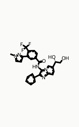 Cn1ccc(-c2cc(C(=O)Nc3c(-c4ccccc4)nc4ccc([C@H](O)CO)cn34)ccc2C(F)(F)F)n1